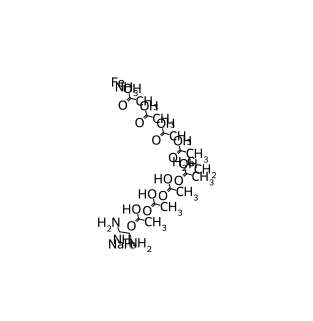 C=C.CC(=O)O.CC(=O)O.CC(=O)O.CC(=O)O.CC(=O)O.CC(=O)O.CC(=O)O.CC(=O)O.N.N.NCCN.[Fe].[NaH]